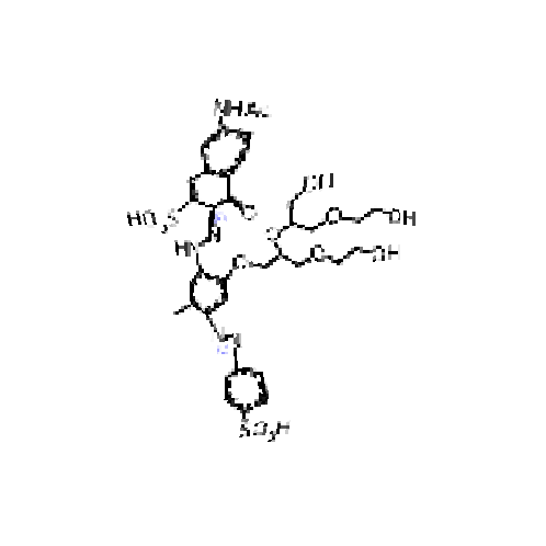 CC(=O)Nc1ccc2c(c1)C=C(S(=O)(=O)O)/C(=N\Nc1cc(C)c(/N=N/c3ccc(S(=O)(=O)O)cc3)cc1OCC(COCCO)OC(CO)COCCO)C2=O